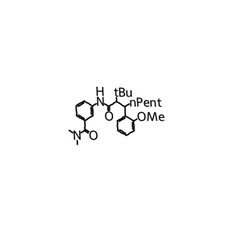 CCCCCC(c1ccccc1OC)C(C(=O)Nc1cccc(C(=O)N(C)C)c1)C(C)(C)C